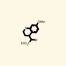 CCOC(=O)C(Br)C1CCSc2cc(OC)ccc21